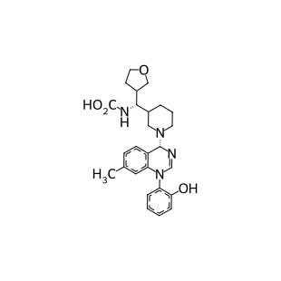 Cc1ccc2c(c1)N(c1ccccc1O)C=N[C@H]2N1CCCC([C@H](NC(=O)O)C2CCOC2)C1